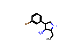 CC(C)(C)CC1NCC(c2cccc(Br)c2)C1N